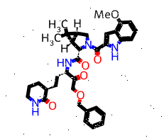 COc1cccc2[nH]c(C(=O)N3C[C@H]4[C@@H]([C@H]3C(=O)N[C@@H](CC[C@@H]3CCCNC3=O)C(=O)COCc3ccccc3)C4(C)C)cc12